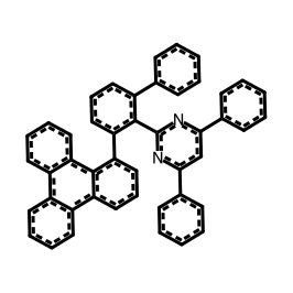 c1ccc(-c2cc(-c3ccccc3)nc(-c3c(-c4ccccc4)cccc3-c3cccc4c5ccccc5c5ccccc5c34)n2)cc1